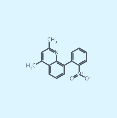 Cc1cc(C)c2cccc(-c3ccccc3[N+](=O)[O-])c2n1